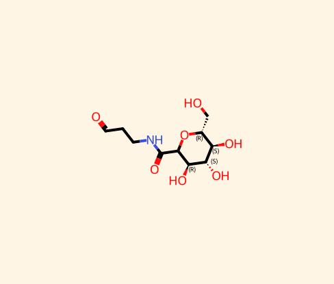 O=CCCNC(=O)C1O[C@H](CO)[C@@H](O)[C@H](O)[C@H]1O